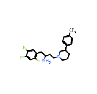 NC(CCN1CCCC(c2ccc(C(F)(F)F)cc2)C1)Cc1cc(F)c(F)cc1F